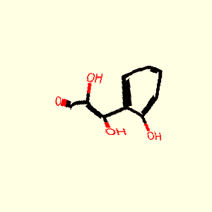 O=[C]C(O)=C(O)c1ccccc1O